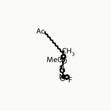 COc1cc(C(C)CCCCCCCCCCCCCCC(C)=O)ccc1OCCCN1CCC(c2noc3cc(F)ccc23)CC1